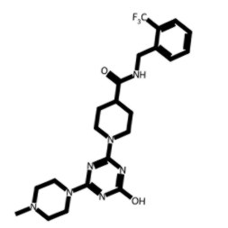 CN1CCN(c2nc(O)nc(N3CCC(C(=O)NCc4ccccc4C(F)(F)F)CC3)n2)CC1